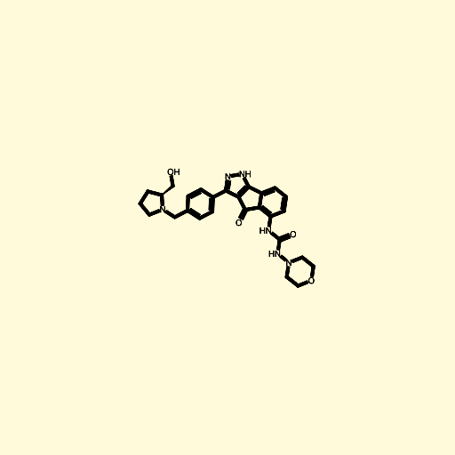 O=C(Nc1cccc2c1C(=O)c1c(-c3ccc(CN4CCC[C@H]4CO)cc3)n[nH]c1-2)NN1CCOCC1